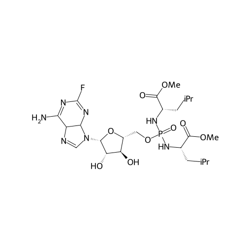 COC(=O)[C@H](CC(C)C)NP(=O)(N[C@@H](CC(C)C)C(=O)OC)OC[C@H]1O[C@@H](N2C=NC3C(N)=NC(F)=NC32)[C@@H](O)[C@@H]1O